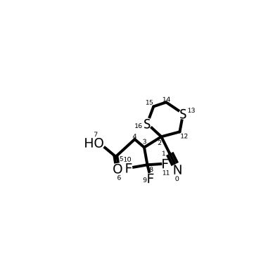 N#CC1(C(CC(=O)O)C(F)(F)F)CSCCS1